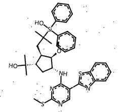 CO[C@@H]1[C@H](CC(C)(C)[Si](O)(c2ccccc2)c2ccccc2)[C@@H](C(C)(C)O)C[C@H]1Nc1nc(SC)ncc1-c1nc2ccccc2s1